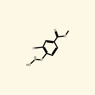 COC(=O)c1ccc(OBO)c(Cl)c1